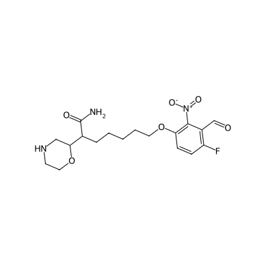 NC(=O)C(CCCCCOc1ccc(F)c(C=O)c1[N+](=O)[O-])C1CNCCO1